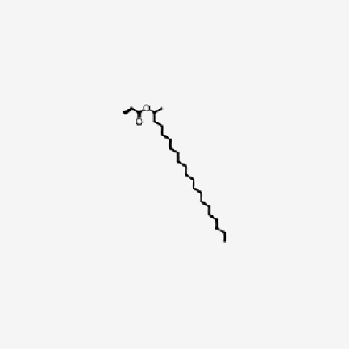 C=CC(=O)OC(C)CCCCCCCCCCCCCCCCCCC